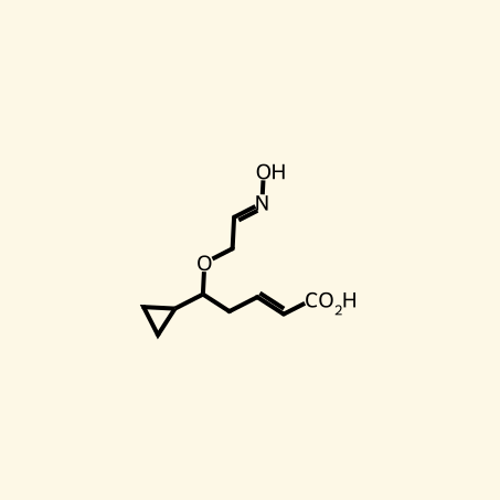 O=C(O)C=CCC(OCC=NO)C1CC1